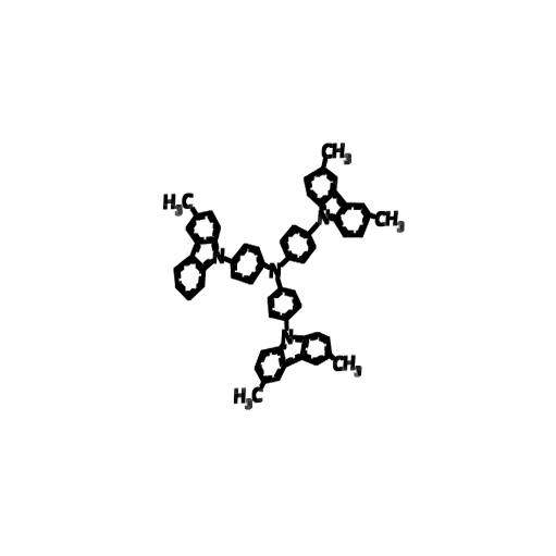 Cc1ccc2c(c1)c1ccccc1n2-c1ccc(N(c2ccc(-n3c4ccc(C)cc4c4cc(C)ccc43)cc2)c2ccc(-n3c4ccc(C)cc4c4cc(C)ccc43)cc2)cc1